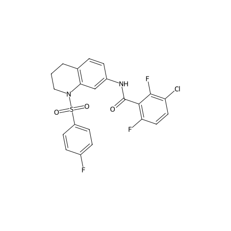 O=C(Nc1ccc2c(c1)N(S(=O)(=O)c1ccc(F)cc1)CCC2)c1c(F)ccc(Cl)c1F